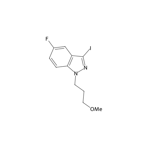 COCCCn1nc(I)c2cc(F)ccc21